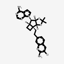 CC1(C)O[C@H]2[C@H](n3ccc4c(N)ncnc43)[C@H]3CC[C@@]3(CCc3ccc4cc(Cl)c(N)nc4c3)[C@H]2O1